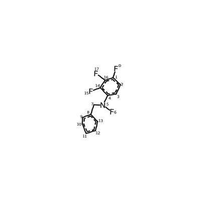 Fc1ccc(N(F)Cc2ccccc2)c(F)c1F